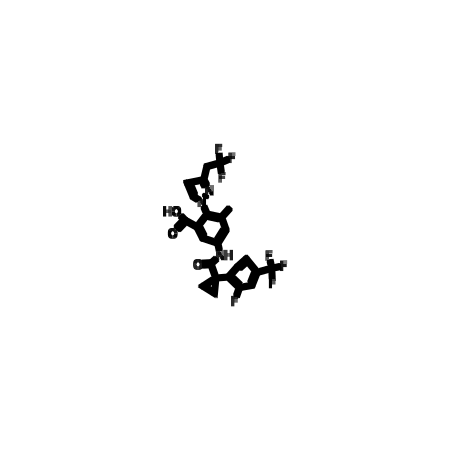 Cc1cc(NC(=O)C2(c3ccc(C(F)(F)F)cc3F)CC2)cc(C(=O)O)c1-n1ccc(CC(F)(F)F)n1